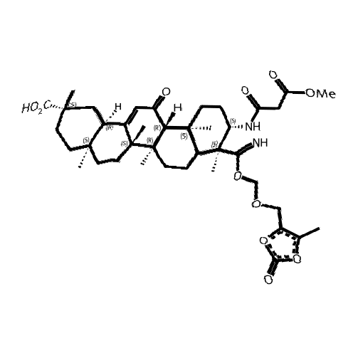 COC(=O)CC(=O)N[C@H]1CC[C@@]2(C)C(CC[C@]3(C)[C@@H]2C(=O)C=C2[C@@H]4C[C@@](C)(C(=O)O)CC[C@]4(C)CC[C@]23C)[C@]1(C)C(=N)OCOCc1oc(=O)oc1C